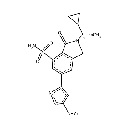 CC(=O)Nc1cc(-c2cc3c(c(S(N)(=O)=O)c2)C(=O)N([C@@H](C)C2CC2)C3)[nH]n1